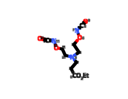 CCOC(=O)CCN(CCON=C=O)CCON=C=O